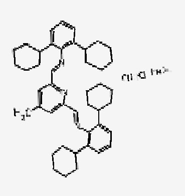 Cc1cc(C=Nc2c(C3CCCCC3)cccc2C2CCCCC2)nc(C=Nc2c(C3CCCCC3)cccc2C2CCCCC2)c1.[Cl-].[Cl-].[Cl-].[Fe+3]